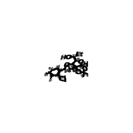 CC[C@@H](O)[C@H]1O[C@@H]2OC(C)(C)O[C@@H]2[C@H]1OCc1ccc(C)c(C)c1Cl